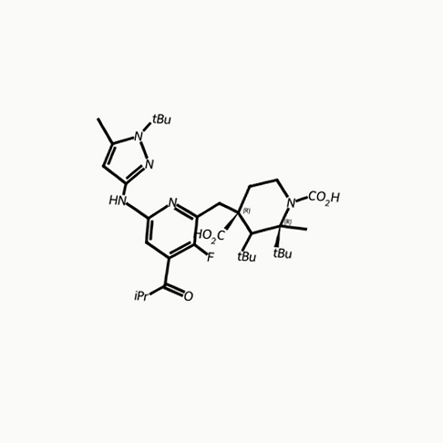 Cc1cc(Nc2cc(C(=O)C(C)C)c(F)c(C[C@]3(C(=O)O)CCN(C(=O)O)[C@@](C)(C(C)(C)C)C3C(C)(C)C)n2)nn1C(C)(C)C